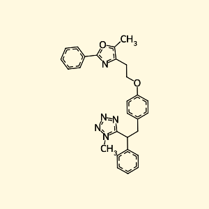 Cc1oc(-c2ccccc2)nc1CCOc1ccc(CC(c2ccccc2)c2nnnn2C)cc1